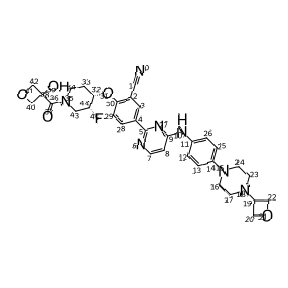 N#Cc1cc(-c2nccc(Nc3ccc(N4CCN(C5COC5)CC4)cc3)n2)ccc1O[C@H]1CCN(C(=O)C2(O)COC2)C[C@H]1F